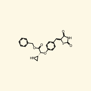 O=C1NC(=O)C(=Cc2ccc(OC(C(=O)OCc3ccccc3)[C@@H]3CN3)cc2)S1